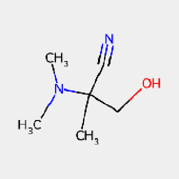 CN(C)C(C)(C#N)CO